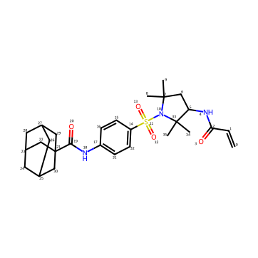 C=CC(=O)NC1CC(C)(C)N(S(=O)(=O)c2ccc(NC(=O)C34CC5CC(CC(C5)C3)C4)cc2)C1(C)C